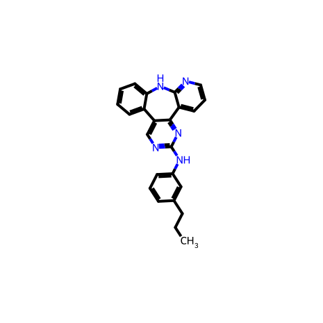 CCCc1cccc(Nc2ncc3c(n2)-c2cccnc2Nc2ccccc2-3)c1